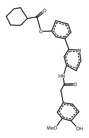 COc1cc(CC(=O)Nc2ccnc(-c3cccc(OC(=O)C4CCCCC4)c3)c2)ccc1O